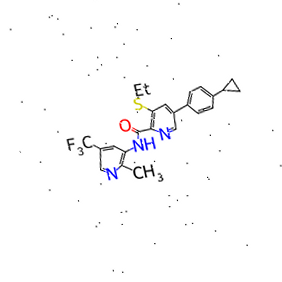 CCSc1cc(-c2ccc(C3CC3)cc2)cnc1C(=O)Nc1cc(C(F)(F)F)cnc1C